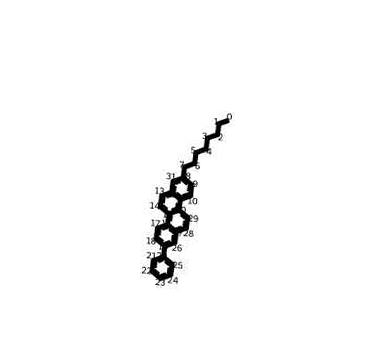 CCCCCCCCc1ccc2c(ccc3c4ccc(-c5ccccc5)cc4ccc23)c1